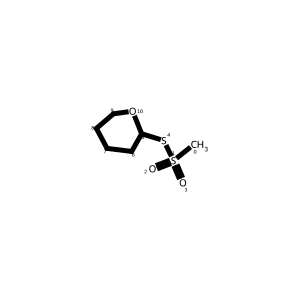 CS(=O)(=O)SC1CCCCO1